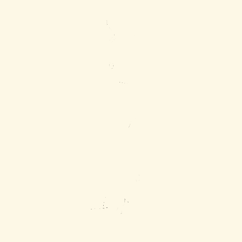 CC(COCC#CCOc1c(Cl)cc(OCC=C(Cl)Cl)cc1Cl)=NOC(C)(C)C